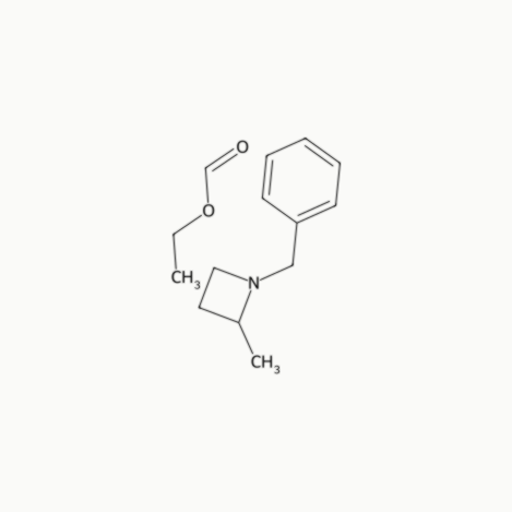 CC1CCN1Cc1ccccc1.CCOC=O